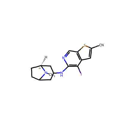 CN1C2CC[C@H]1CC(Nc1ncc3sc(C#N)cc3c1I)C2